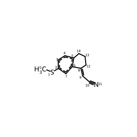 CSc1ccc2c(c1)C(=CC#N)CCC2